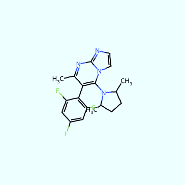 Cc1nc2nccn2c(N2C(C)CCC2C)c1-c1c(F)cc(F)cc1F